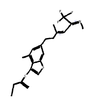 C=C(CC)Cc1csc2cc(CC/C(C)=C/C(=N\C)C(F)(F)F)cc(C)c12